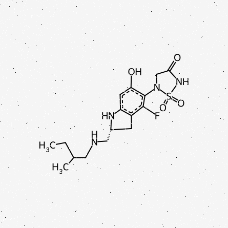 CCC(C)CNC[C@H]1Cc2c(cc(O)c(N3CC(=O)NS3(=O)=O)c2F)N1